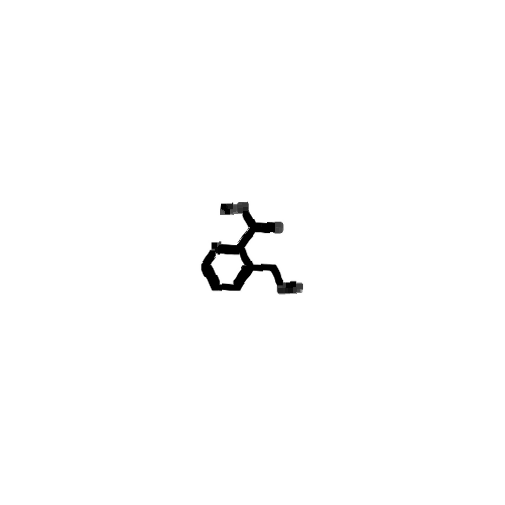 COCc1cccnc1C(=O)OC